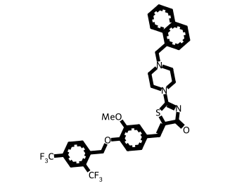 COc1cc(/C=C2\SC(N3CCN(Cc4cccc5ccccc45)CC3)=NC2=O)ccc1OCc1ccc(C(F)(F)F)cc1C(F)(F)F